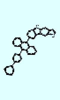 c1ccc(-c2ccc(-c3c4ccccc4c(-c4ccc5oc6cc7ccoc7cc6c5c4)c4ccccc34)cc2)cc1